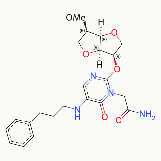 CO[C@@H]1CO[C@H]2[C@@H]1OC[C@H]2Oc1ncc(NCCCc2ccccc2)c(=O)n1CC(N)=O